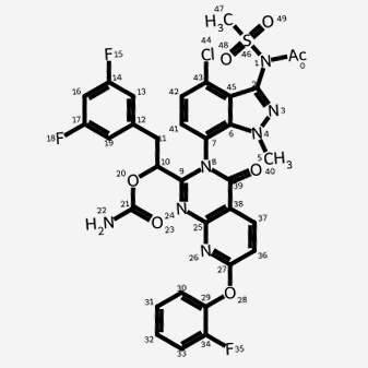 CC(=O)N(c1nn(C)c2c(-n3c(C(Cc4cc(F)cc(F)c4)OC(N)=O)nc4nc(Oc5ccccc5F)ccc4c3=O)ccc(Cl)c12)S(C)(=O)=O